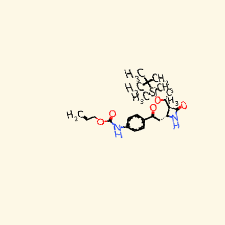 C=CCOC(=O)Nc1ccc(C(=O)C[C@H]2NC(=O)[C@@H]2[C@@H](C)O[Si](C)(C)C(C)(C)C)cc1